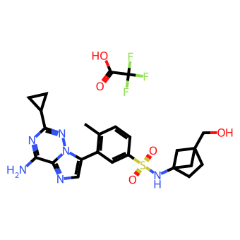 Cc1ccc(S(=O)(=O)NC23CCC(CO)(C2)C3)cc1-c1cnc2c(N)nc(C3CC3)nn12.O=C(O)C(F)(F)F